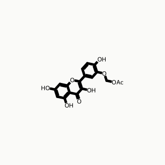 CC(=O)OCOc1cc(-c2oc3cc(O)cc(O)c3c(=O)c2O)ccc1O